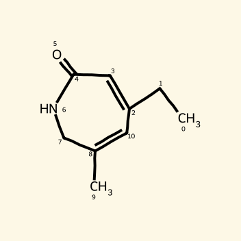 CCC1=CC(=O)NCC(C)=C1